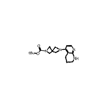 CC(C)(C)OC(=O)N1CC2(C1)CN(c1ccnc3c1CCCN3)C2